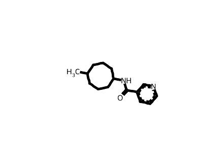 CC1CCCC(NC(=O)c2cccnc2)CCC1